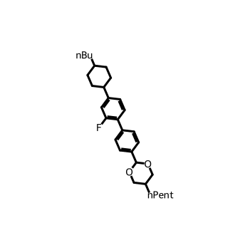 CCCCCC1COC(c2ccc(-c3ccc(C4CCC(CCCC)CC4)cc3F)cc2)OC1